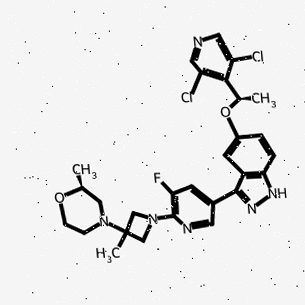 C[C@H]1CN(C2(C)CN(c3ncc(-c4n[nH]c5ccc(O[C@H](C)c6c(Cl)cncc6Cl)cc45)cc3F)C2)CCO1